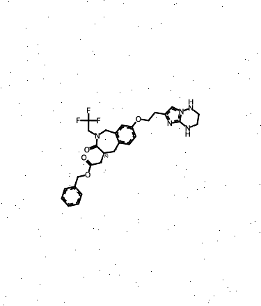 O=C(C[C@@H]1Cc2ccc(OCCc3cn4c(n3)NCCN4)cc2CN(CC(F)(F)F)C1=O)OCc1ccccc1